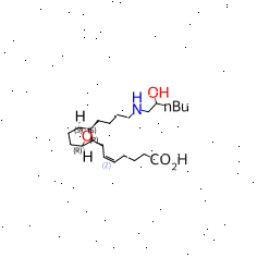 CCCCC(O)CNCCCC[C@H]1[C@@H](C/C=C\CCCC(=O)O)[C@H]2CC[C@@H]1O2